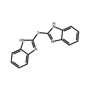 c1ccc2[nH]c(Sc3nc4ccccc4[nH]3)nc2c1